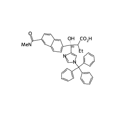 CCC(C(=O)O)[C@](O)(c1ccc2cc(C(=O)NC)ccc2c1)c1cn(C(c2ccccc2)(c2ccccc2)c2ccccc2)cn1